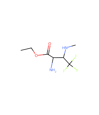 CCOC(=O)C(N)C(NC)C(F)(F)F